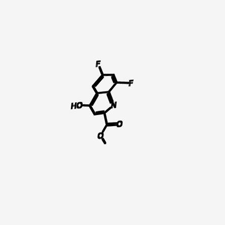 COC(=O)c1cc(O)c2cc(F)cc(F)c2n1